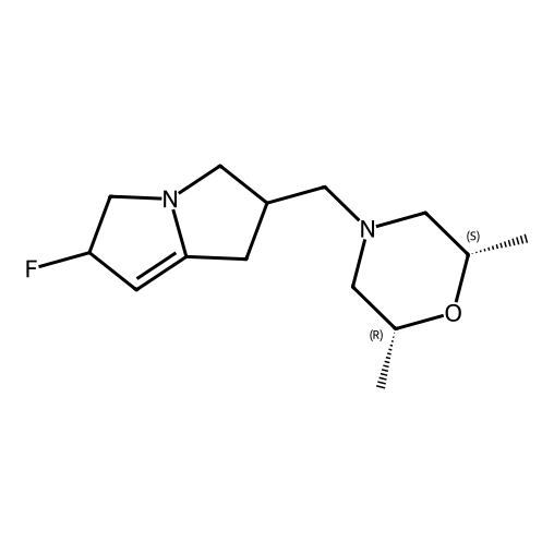 C[C@@H]1CN(CC2CC3=CC(F)CN3C2)C[C@H](C)O1